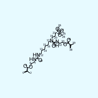 C=C(C)C(=O)OCCNC(=O)NCCCCCCN(CCC[Si](OC)(OC)OC)C(=O)NCCOC(=O)C(=C)C